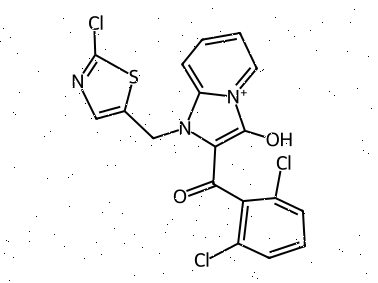 O=C(c1c(Cl)cccc1Cl)c1c(O)[n+]2ccccc2n1Cc1cnc(Cl)s1